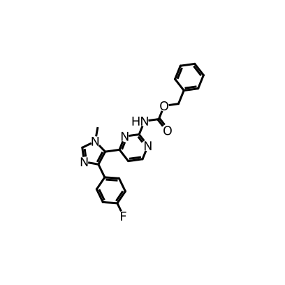 Cn1cnc(-c2ccc(F)cc2)c1-c1ccnc(NC(=O)OCc2ccccc2)n1